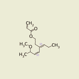 C=CC(=O)OCCC(/C=C\C(C)OC)=C/CC